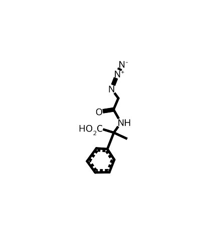 CC(NC(=O)CN=[N+]=[N-])(C(=O)O)c1ccccc1